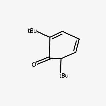 CC(C)(C)C1=C[C]=CC(C(C)(C)C)C1=O